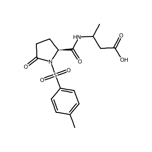 Cc1ccc(S(=O)(=O)N2C(=O)CC[C@H]2C(=O)NC(C)CC(=O)O)cc1